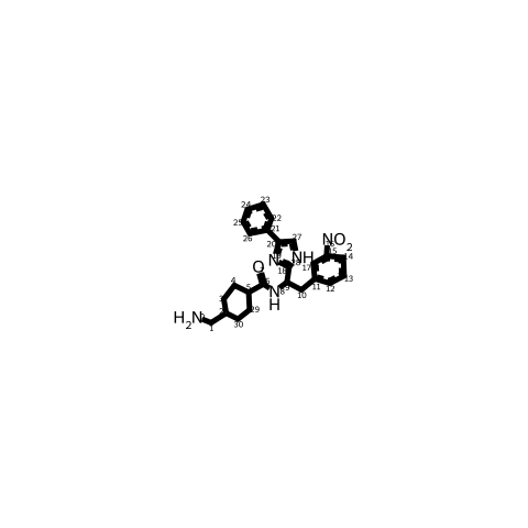 NCC1CCC(C(=O)NC(Cc2cccc([N+](=O)[O-])c2)c2nc(-c3ccccc3)c[nH]2)CC1